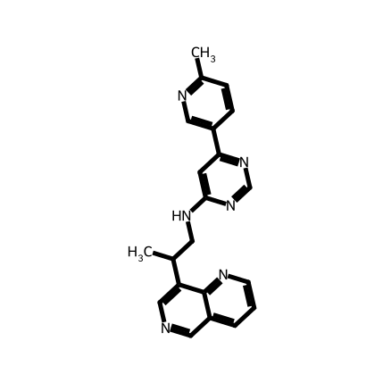 Cc1ccc(-c2cc(NCC(C)c3cncc4cccnc34)ncn2)cn1